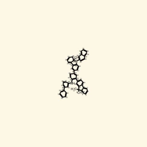 CC1(C)c2ccccc2-c2ccc(-c3cc(-c4ccc5c(c4)C4=CC=CCC4(C)N5c4ccc5ccccc5c4)ccc3Nc3cccc(-c4ccccc4)c3)cc21